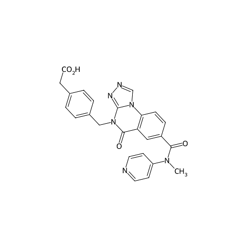 CN(C(=O)c1ccc2c(c1)c(=O)n(Cc1ccc(CC(=O)O)cc1)c1nncn21)c1ccncc1